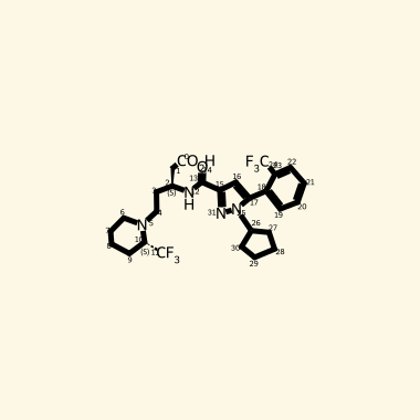 O=C(O)C[C@H](CCN1CCCC[C@H]1C(F)(F)F)NC(=O)c1cc(-c2ccccc2C(F)(F)F)n(C2CCCC2)n1